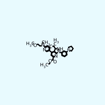 CCOC(=O)c1cc(-c2ccc(N(C)CCOC)nc2)c2c(n1)N(c1cccc(N3CCCC3)c1)NC2C(C)C